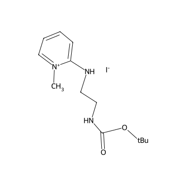 C[n+]1ccccc1NCCNC(=O)OC(C)(C)C.[I-]